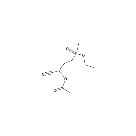 CCOP(C)(=O)CCC(C#N)OC(C)=O